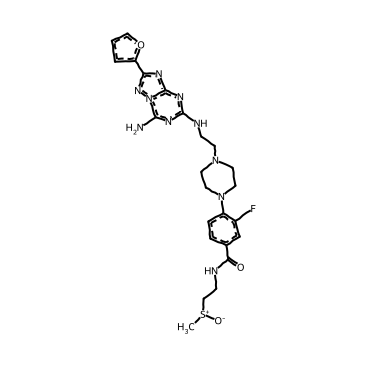 C[S+]([O-])CCNC(=O)c1ccc(N2CCN(CCNc3nc(N)n4nc(-c5ccco5)nc4n3)CC2)c(F)c1